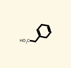 O=C(O)CC1=CCC=CC1